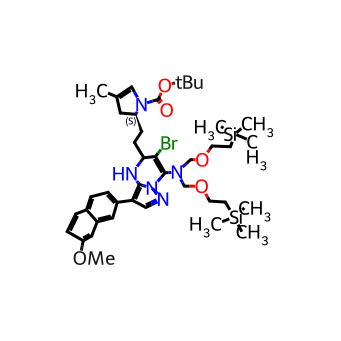 COc1ccc2ccc(-c3cnn4c3NC(CC[C@H]3CC(C)=CN3C(=O)OC(C)(C)C)C(Br)=C4N(COCC[Si](C)(C)C)COCC[Si](C)(C)C)cc2c1